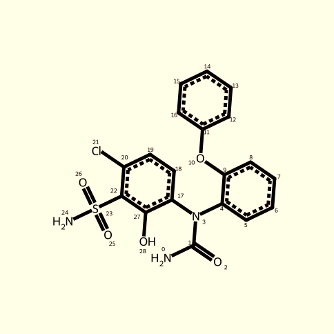 NC(=O)N(c1ccccc1Oc1ccccc1)c1ccc(Cl)c(S(N)(=O)=O)c1O